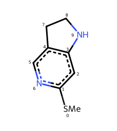 CSc1cc2c(cn1)CCN2